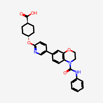 O=C(Nc1ccccc1)N1CCOc2cc(-c3ccc(O[C@H]4CC[C@H](C(=O)O)CC4)nc3)ccc21